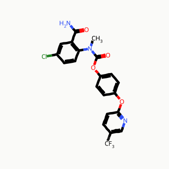 CN(C(=O)Oc1ccc(Oc2ccc(C(F)(F)F)cn2)cc1)c1ccc(Cl)cc1C(N)=O